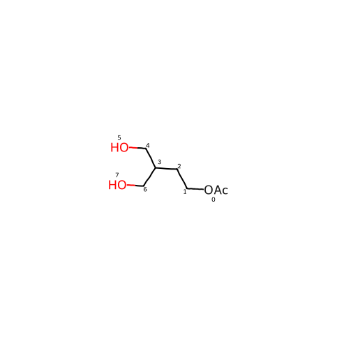 CC(=O)OCCC(CO)CO